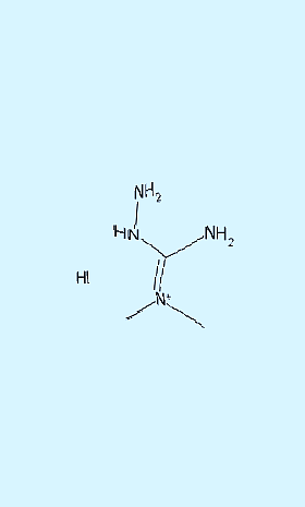 C[N+](C)=C(N)NN.I